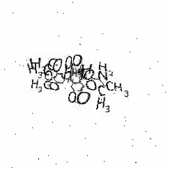 COc1cc([C@@H]2c3cc4c(cc3[C@H](OC(=O)C(N)C(C)C)[C@H]3COC(=O)[C@@H]23)OCO4)cc(OC)c1OC